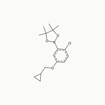 CC1(C)OB(c2cc(OCC3CC3)ccc2Cl)OC1(C)C